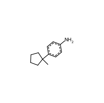 CC1(c2ccc(N)cc2)CCCC1